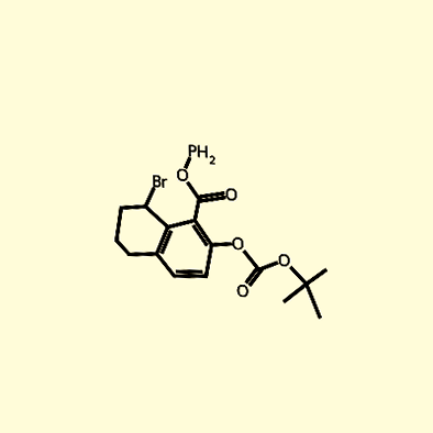 CC(C)(C)OC(=O)Oc1ccc2c(c1C(=O)OP)C(Br)CCC2